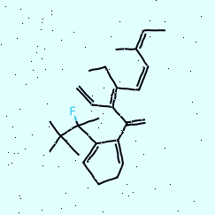 C=C/C(C(=C)C1=CCCC=C1C(C)(F)C(C)(C)C)=C(/C=C\C(C)=C/C)CC